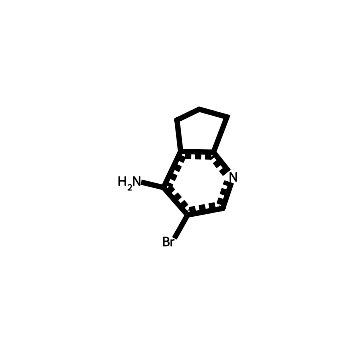 Nc1c(Br)cnc2c1CCC2